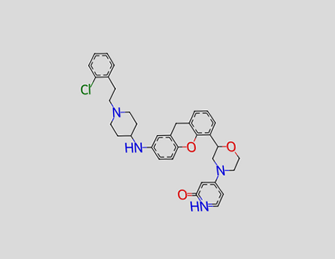 O=c1cc(N2CCOC(c3cccc4c3Oc3ccc(NC5CCN(CCc6ccccc6Cl)CC5)cc3C4)C2)cc[nH]1